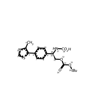 Cc1ncsc1-c1ccc([C@H](COC(=O)OC(C)(C)C)NC(=O)O)cc1